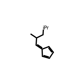 CC(C)CC(C)C=C1C=CC=C1